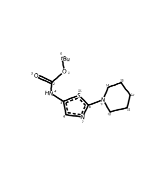 CC(C)(C)OC(=O)Nc1cnc(N2CCCCC2)s1